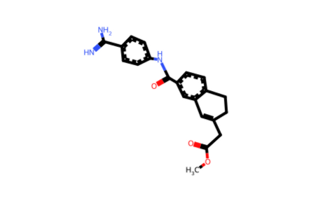 COC(=O)CC1=Cc2cc(C(=O)Nc3ccc(C(=N)N)cc3)ccc2CC1